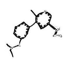 Cc1ncc(NC=O)cc1-c1cccc(SN(C)C)c1